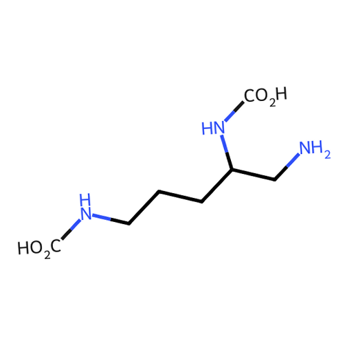 NCC(CCCNC(=O)O)NC(=O)O